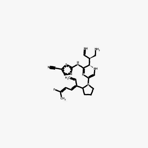 C=C/C(=C\C=C(/C)F)C1CCCN1C1=CN[C@@H]([C@@H](C=N)CN)C(Nc2ncc(C#N)s2)=N1